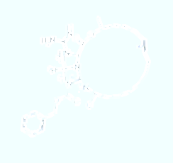 [2H]C([2H])([2H])N1/C(=N/C(=O)OCc2ccccc2)NC(=O)CCCCCC/C=C/CCCC(C)OC(=O)C1NC(=N)N